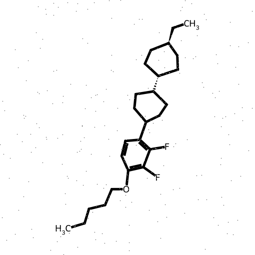 CCCCCOc1ccc(C2CCC([C@H]3CC[C@H](CC)CC3)CC2)c(F)c1F